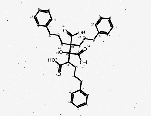 O=C(O)C(CCCc1ccccc1)C(O)(C(=O)O)C(CCCc1ccccc1)(CCCc1ccccc1)C(=O)O